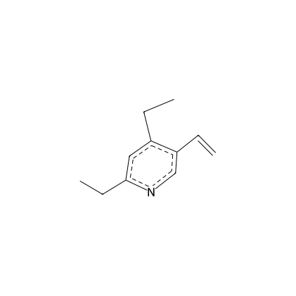 C=Cc1cnc(CC)cc1CC